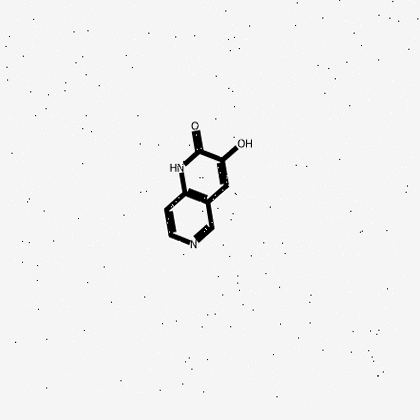 O=c1[nH]c2ccncc2cc1O